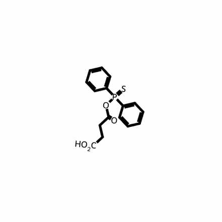 O=C(O)CCC(=O)OP(=S)(c1ccccc1)c1ccccc1